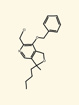 CCCCC1(C)OCc2c1cnc(CCl)c2OCc1ccccc1